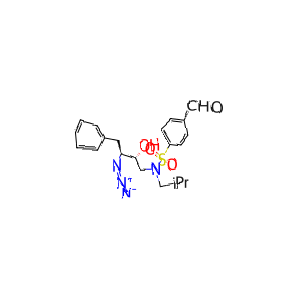 CC(C)CN(C[C@@H](O)[C@H](Cc1ccccc1)N=[N+]=[N-])S(=O)(=O)c1ccc(C=O)cc1